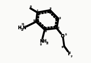 Cc1ccc(OCF)c(N)c1N